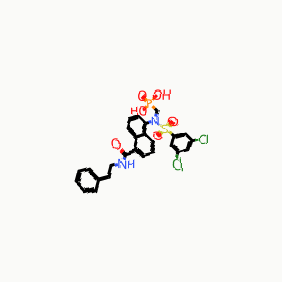 O=C(NCCc1ccccc1)c1cccc2c(N(CP(=O)(O)O)S(=O)(=O)c3cc(Cl)cc(Cl)c3)cccc12